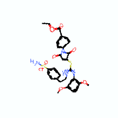 CCOC(=O)c1ccc(N2C(=O)CC(S/C(=N/c3cc(OC)ccc3OC)NCCc3ccc(S(N)(=O)=O)cc3)C2=O)cc1